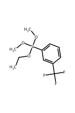 CCO[Si](OC)(OC)c1cccc(C(F)(F)F)c1